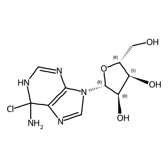 NC1(Cl)NC=Nc2c1ncn2[C@@H]1O[C@H](CO)[C@@H](O)[C@H]1O